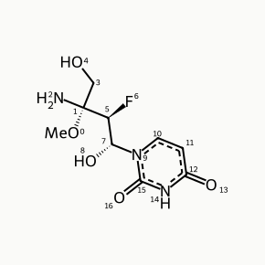 CO[C@](N)(CO)[C@@H](F)[C@@H](O)n1ccc(=O)[nH]c1=O